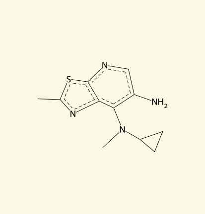 Cc1nc2c(N(C)C3CC3)c(N)cnc2s1